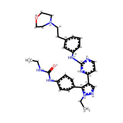 CCNC(=O)Nc1ccc(-c2c(-c3ccnc(Nc4cccc(CCN5CCOCC5)c4)n3)cnn2CC)cc1